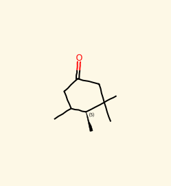 CC1CC(=O)CC(C)(C)[C@H]1C